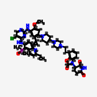 CCc1ccc2c(P(C)(C)=O)c(Nc3nc(Nc4cc(C5CC5)c(N5CCC(N6CCN(CCc7cccc8c7oc(=O)n8C7CCC(=O)NC7=O)CC6)CC5)cc4OC)ncc3Br)ccc2n1